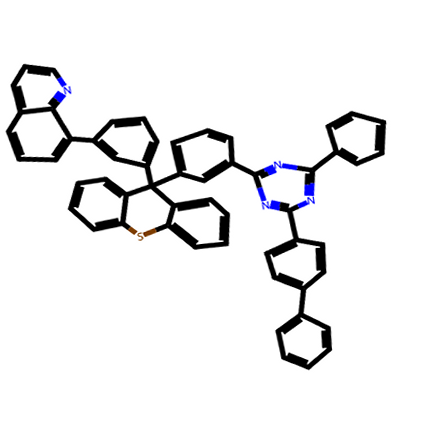 c1ccc(-c2ccc(-c3nc(-c4ccccc4)nc(-c4cccc(C5(c6cccc(-c7cccc8cccnc78)c6)c6ccccc6Sc6ccccc65)c4)n3)cc2)cc1